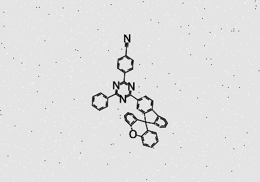 N#Cc1ccc(-c2nc(-c3ccccc3)nc(-c3ccc4c(c3)C3(c5ccccc5Oc5ccccc53)c3ccccc3-4)n2)cc1